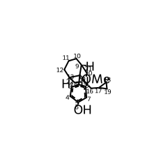 CO[C@@]1(c2ccc(O)cc2)[C@@H]2CCC[C@H]1CN(CC1CC1)C2